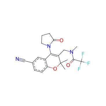 CN(CC1=C(N2CCCC2=O)c2cc(C#N)ccc2OC1(C)C)C(=O)C(F)(F)F